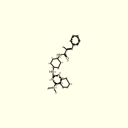 C/C(=C\c1ccccc1)C(=O)NC1CCC(Nc2nc3c(c(N(C)C)n2)CCCC3)CC1